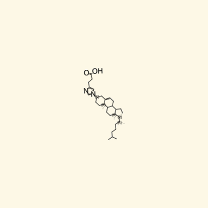 CC(C)CCC[C@@H](C)[C@H]1CCC2C3CC=C4C[C@@H](n5cnc(CCC(=O)O)c5)CC[C@]4(C)C3CC[C@@]21C